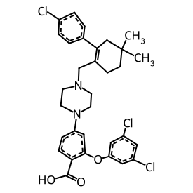 CC1(C)CCC(CN2CCN(c3ccc(C(=O)O)c(Oc4cc(Cl)cc(Cl)c4)c3)CC2)=C(c2ccc(Cl)cc2)C1